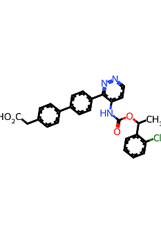 CC(OC(=O)Nc1ccnnc1-c1ccc(-c2ccc(CC(=O)O)cc2)cc1)c1ccccc1Cl